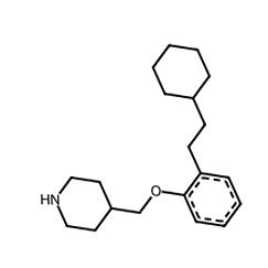 c1ccc(OCC2CCNCC2)c(CCC2CCCCC2)c1